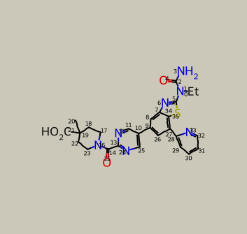 CCN(C(N)=O)c1nc2cc(-c3cnc(C(=O)N4CCC(C)(C(=O)O)CC4)nc3)cc(-c3ccccn3)c2s1